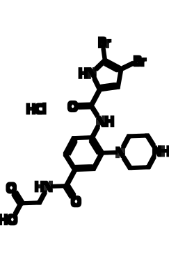 Cl.O=C(O)CNC(=O)c1ccc(NC(=O)c2cc(Br)c(Br)[nH]2)c(N2CCNCC2)c1